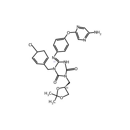 CC1(C)OC[C@H](Cn2c(=O)[nH]/c(=N\c3ccc(Oc4cnc(N)cn4)cc3)n(CC3=CCC(Cl)C=C3)c2=O)O1